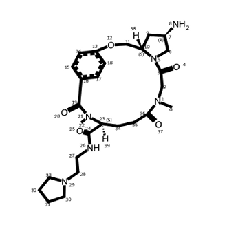 CN1CC(=O)N2C[C@H](N)C[C@H]2COc2ccc(cc2)C(=O)N(C)[C@H](C(=O)NCCN2CCCC2)CCC1=O